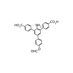 Nc1c(-c2ccc(C(=O)O)cc2)cc(-c2ccc(OC=O)cc2)cc1-c1ccc(C(=O)O)cc1